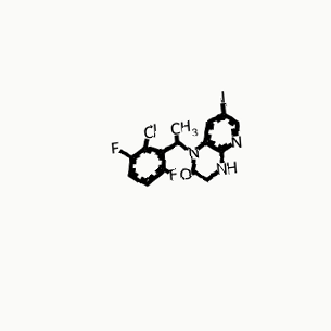 CC(c1c(F)ccc(F)c1Cl)N1C(=O)CNc2ncc(I)cc21